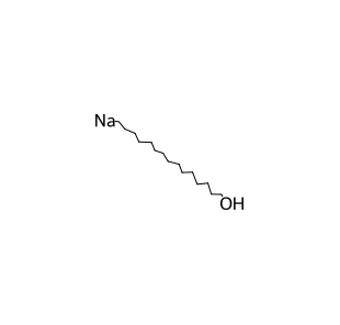 OCCCCCCCCCCCCCC[CH2][Na]